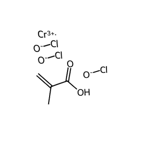 C=C(C)C(=O)O.[Cr+3].[O-]Cl.[O-]Cl.[O-]Cl